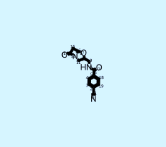 N#Cc1ccc(C(=O)NCC2CN3C(=O)CC3O2)cc1